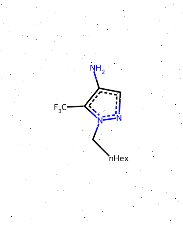 CCCCCCCn1ncc(N)c1C(F)(F)F